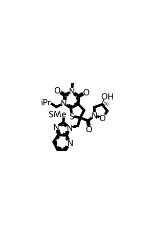 CSc1nc2cccnc2n1CC1(C(=O)N2C[C@H](O)CO2)Cc2c(n(CC(C)C)c(=O)n(C)c2=O)S1